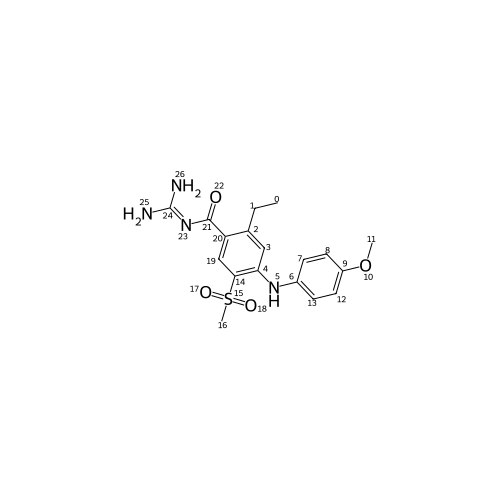 CCc1cc(Nc2ccc(OC)cc2)c(S(C)(=O)=O)cc1C(=O)N=C(N)N